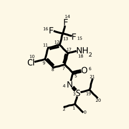 CC(C)S(=NC(=O)c1cc(Cl)cc(C(F)(F)F)c1N)C(C)C